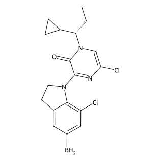 Bc1cc(Cl)c2c(c1)CCN2c1nc(Cl)cn([C@@H](CC)C2CC2)c1=O